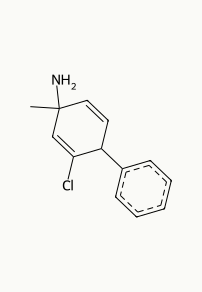 CC1(N)C=CC(c2ccccc2)C(Cl)=C1